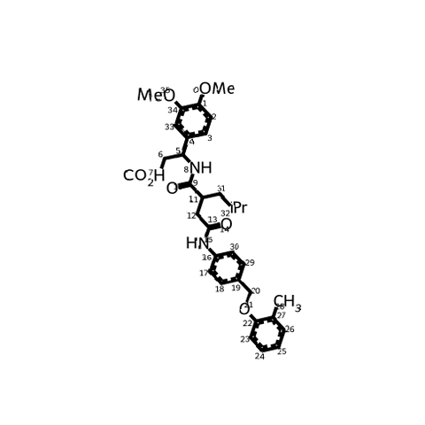 COc1ccc(C(CC(=O)O)NC(=O)C(CC(=O)Nc2ccc(COc3ccccc3C)cc2)CC(C)C)cc1OC